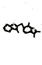 Cc1sc2c(C)c(Cc3sc4ccccc4c3C)ccc2c1C